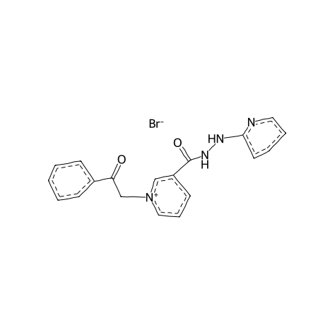 O=C(C[n+]1cccc(C(=O)NNc2ccccn2)c1)c1ccccc1.[Br-]